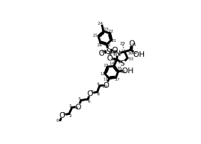 COCCOCCOCCOc1ccc(C2(OS(=O)(=O)c3ccc(C)cc3)N[C@@](C)(C(=O)O)CS2)c(O)c1